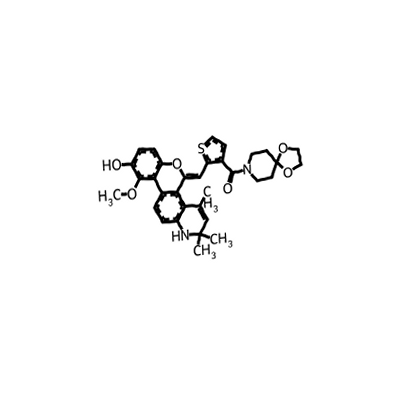 COc1c(O)ccc2c1-c1ccc3c(c1/C(=C/c1sccc1C(=O)N1CCC4(CC1)OCCO4)O2)C(C)=CC(C)(C)N3